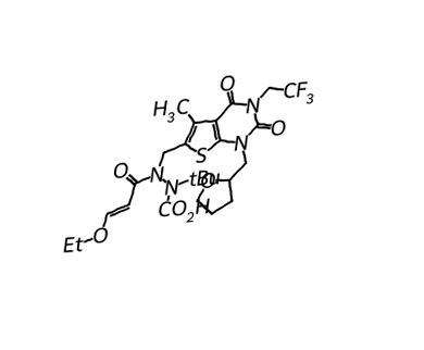 CCOC=CC(=O)N(Cc1sc2c(c1C)c(=O)n(CC(F)(F)F)c(=O)n2CC1CCCO1)N(C(=O)O)C(C)(C)C